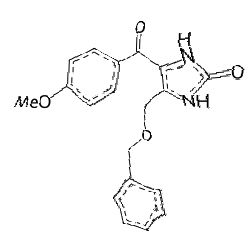 COc1ccc(C(=O)c2[nH]c(=O)[nH]c2COCc2ccccc2)cc1